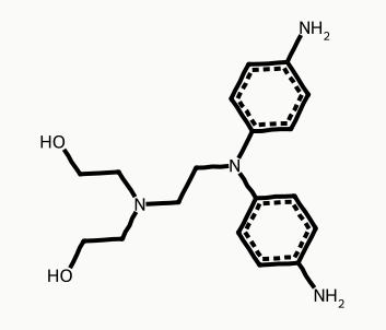 Nc1ccc(N(CCN(CCO)CCO)c2ccc(N)cc2)cc1